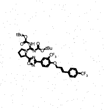 CC(C)(C)OC(=O)N=C(NC(=O)OC(C)(C)C)N1CCCC1c1nc(-c2ccc(OC/C=C/c3ccc(C(F)(F)F)cc3)c(C(F)(F)F)c2)no1